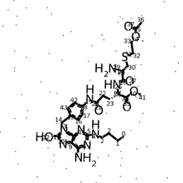 CCCCNc1nc(N)c2nc(O)n(Cc3ccc(NC(=O)CC[C@H](NC(=O)[C@@H](N)CSCCOC(C)=O)C(=O)OC)cc3)c2n1